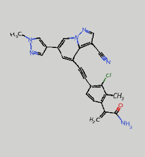 C=C(C(N)=O)c1ccc(C#Cc2cc(-c3cnn(C)c3)cn3ncc(C#N)c23)c(Cl)c1C